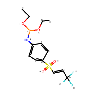 CCOP(Nc1ccc(S(=O)(=O)C=CC(F)(F)F)cc1)OCC